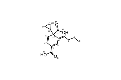 CCCC=C1C=C(C(=O)O)C=CC1(C(=O)O)C1CO1